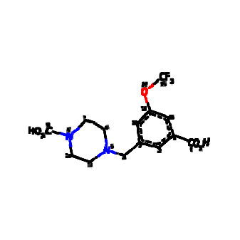 O=C(O)c1cc(CN2CCN(C(=O)O)CC2)cc(OC(F)(F)F)c1